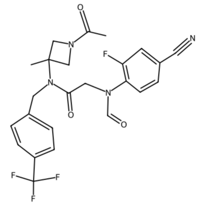 CC(=O)N1CC(C)(N(Cc2ccc(C(F)(F)F)cc2)C(=O)CN(C=O)c2ccc(C#N)cc2F)C1